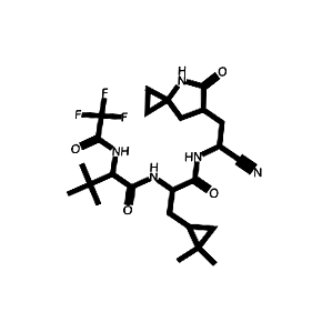 CC(C)(C)C(NC(=O)C(F)(F)F)C(=O)NC(CC1CC1(C)C)C(=O)NC(C#N)CC1CC2(CC2)NC1=O